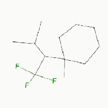 CC(C)C(C(F)(F)F)C1(C)CCCCC1